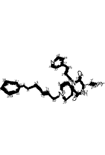 CC(C)C[C@@H]1NC(=O)C2(CCN(CCCCCCc3ccccc3)CC2)N(CCc2ccncc2)C1=O